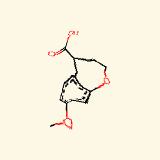 COc1ccc2c(c1)OCCC2C(=O)O